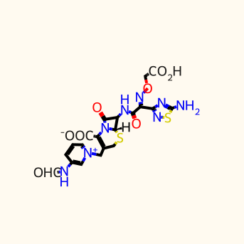 Nc1nc(C(=NOCC(=O)O)C(=O)NC2C(=O)N3C(C(=O)[O-])=C(C[n+]4cccc(NC=O)c4)CS[C@@H]23)ns1